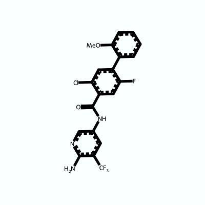 COc1ccccc1-c1cc(Cl)c(C(=O)Nc2cnc(N)c(C(F)(F)F)c2)cc1F